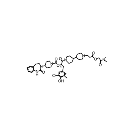 Cc1cc(C[C@@H](OC(=O)N2CCC(N3CCc4ccccc4NC3=O)CC2)C(=O)N2CCC(C3CCN(CCC(=O)OCC(=O)N(C)C)CC3)CC2)cc(Cl)c1O